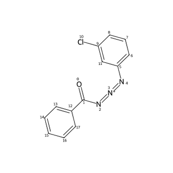 O=C(N=[N+]=Nc1cccc(Cl)c1)c1ccccc1